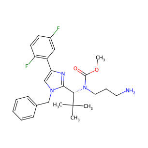 COC(=O)N(CCCN)[C@@H](c1nc(-c2cc(F)ccc2F)cn1Cc1ccccc1)C(C)(C)C